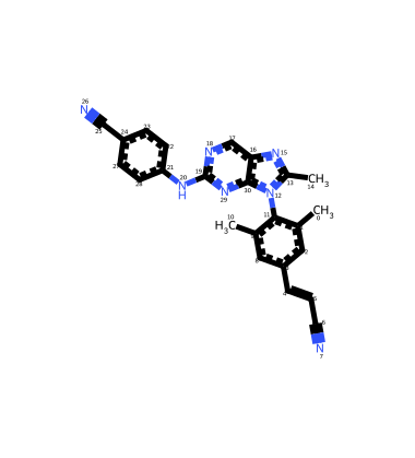 Cc1cc(/C=C/C#N)cc(C)c1-n1c(C)nc2cnc(Nc3ccc(C#N)cc3)nc21